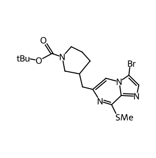 CSc1nc(CC2CCCN(C(=O)OC(C)(C)C)C2)cn2c(Br)cnc12